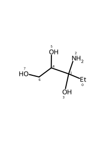 CCC(N)(O)C(O)CO